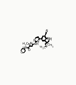 COCC1(C)CNc2c(C#N)cc(-c3ccnc(Nc4cc(C(=O)NC5CCOCC5)n(C)n4)n3)cc21